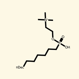 CCCCCCCCCCCCCCCCP(=O)(O)OCC[N+](C)(C)C